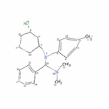 Cl.[CH2]c1ccc(N(C2CCCCC2)C(c2ccccc2)N(C)C)cc1